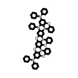 c1ccc(N(c2ccccc2)c2cc3c4c(c2)Oc2cc5c6c(c2B4c2ccccc2O3)Oc2ccccc2B6c2cc3c(cc2O5)N(c2ccccc2)c2cc(N(c4ccccc4)c4ccccc4)cc4c2B3c2ccccc2O4)cc1